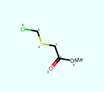 COC(=O)CSCCl